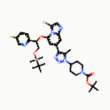 Cc1c(-c2cc(OC(CO[Si](C)(C)C(C)(C)C)c3ccc(F)cn3)n3c(Cl)cnc3c2)nnn1C1CCN(C(=O)OC(C)(C)C)CC1